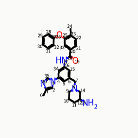 Cc1cn(-c2cc(CN3CCCC(N)C3)cc(NC(=O)c3ccc(C)c(Oc4ccccc4)c3)c2)cn1